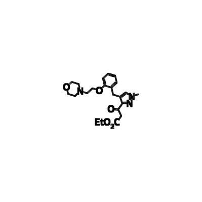 CCOC(=O)CC(=O)c1nn(C)cc1Cc1ccccc1OCCN1CCOCC1